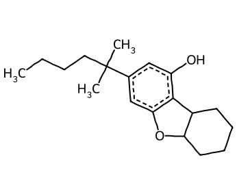 CCCCC(C)(C)c1cc(O)c2c(c1)OC1CCCCC21